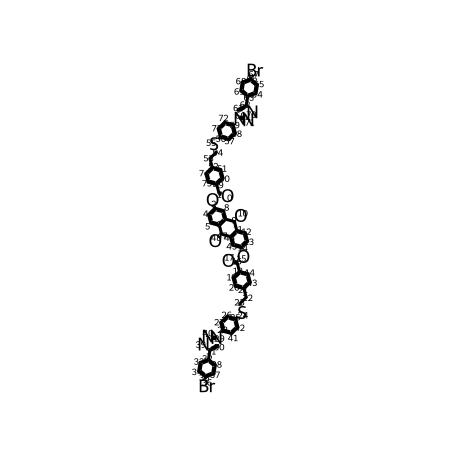 O=C(Oc1ccc2c(c1)C(=O)c1ccc(OC(=O)c3ccc(CCSc4ccc(-n5cc(-c6ccc(Br)cc6)nn5)cc4)cc3)cc1C2=O)c1ccc(CCSc2ccc(-n3cc(-c4ccc(Br)cc4)nn3)cc2)cc1